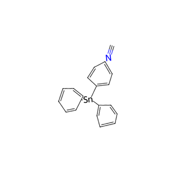 C#N.c1cc[c]([Sn]([c]2ccccc2)[c]2ccccc2)cc1